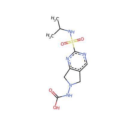 CC(C)NS(=O)(=O)c1ncc2c(n1)CN(NC(=O)O)C2